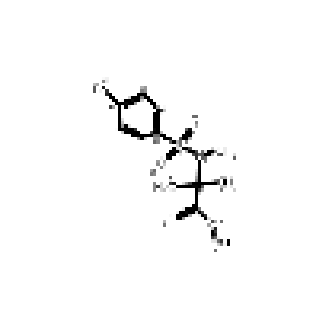 CN(C(C)(C)C(=O)OC(C)(C)C)S(=O)(=O)c1ccc(Br)cc1